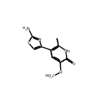 Cc1[nH]c(=O)c(OC(=O)O)cc1-c1csc(N)n1